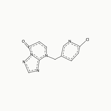 O=c1ccn(Cc2ccc(Cl)nc2)c2ncnn12